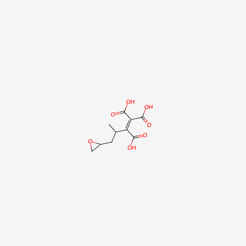 CC(CC1CO1)C(C(=O)O)=C(C(=O)O)C(=O)O